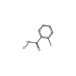 O=C(NCl)c1ccccc1F